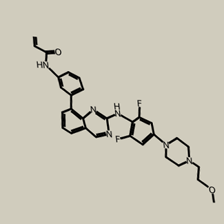 C=CC(=O)Nc1cccc(-c2cccc3cnc(Nc4c(F)cc(N5CCN(CCOC)CC5)cc4F)nc23)c1